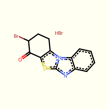 Br.O=C1c2sc3nc4ccccc4n3c2CCC1Br